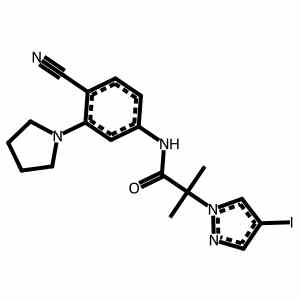 CC(C)(C(=O)Nc1ccc(C#N)c(N2CCCC2)c1)n1cc(I)cn1